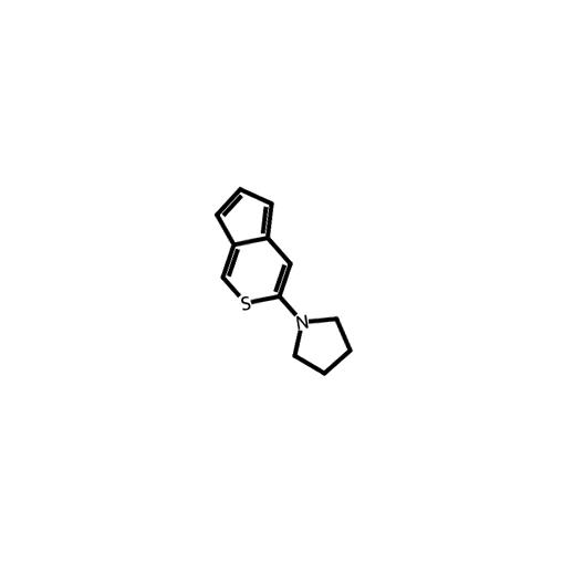 c1cc2csc(N3CCCC3)cc-2c1